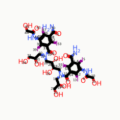 NC(=O)c1c(I)c(NC(=O)CO)c(I)c(C(=O)N(CC(O)CO)C[C@@H](O)[C@@H](O)CN(CC(O)CO)C(=O)c2c(I)c(NC(=O)CO)c(I)c(C(N)=O)c2I)c1I